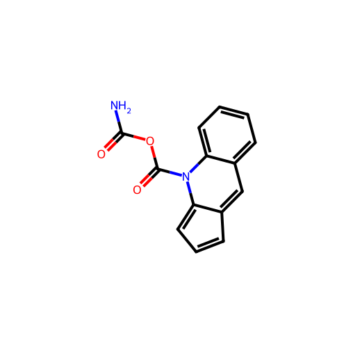 NC(=O)OC(=O)n1c2cccc-2cc2ccccc21